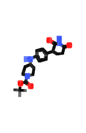 CC(C)(C)OC(=O)N1CCC(Nc2ccc(C3CCC(=O)NC3=O)cc2)CC1